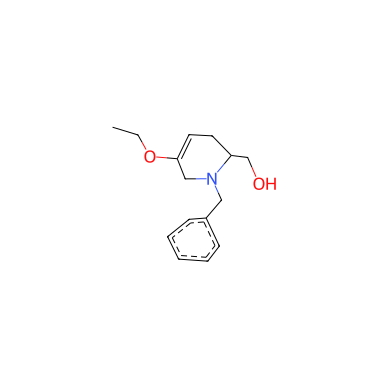 CCOC1=CCC(CO)N(Cc2ccccc2)C1